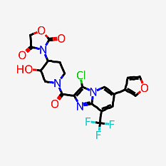 O=C(c1nc2c(C(F)(F)F)cc(-c3ccoc3)cn2c1Cl)N1CCC(N2C(=O)COC2=O)C(O)C1